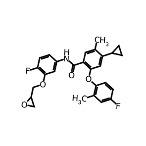 Cc1cc(F)ccc1Oc1cc(C2CC2)c(C)cc1C(=O)Nc1ccc(F)c(OCC2CO2)c1